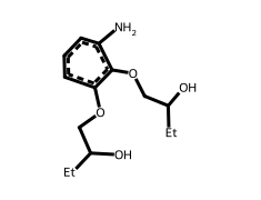 CCC(O)COc1cccc(N)c1OCC(O)CC